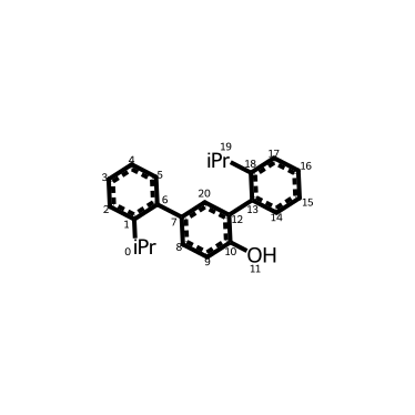 CC(C)c1ccccc1-c1ccc(O)c(-c2ccccc2C(C)C)c1